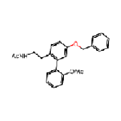 COc1ccccc1-c1cc(OCc2ccccc2)ccc1CCNC(C)=O